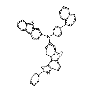 c1ccc(-c2nc3ccc4oc5cc(N(c6ccc(-c7cccc8ccccc78)cc6)c6ccc7c(c6)sc6ccccc67)ccc5c4c3o2)cc1